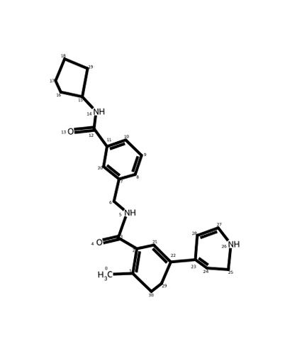 CC1=C(C(=O)NCc2cccc(C(=O)NC3CCCC3)c2)C=C(C2=CCNC=C2)CC1